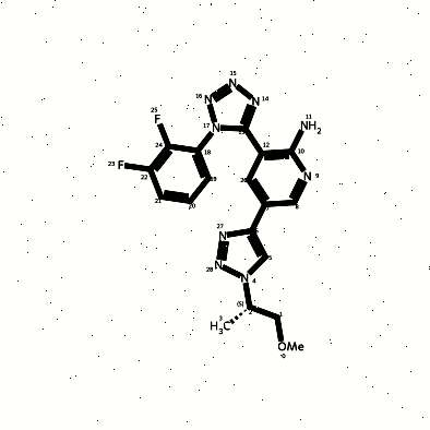 COC[C@H](C)n1cc(-c2cnc(N)c(-c3nnnn3-c3cccc(F)c3F)c2)nn1